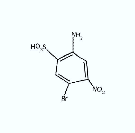 Nc1cc([N+](=O)[O-])c(Br)cc1S(=O)(=O)O